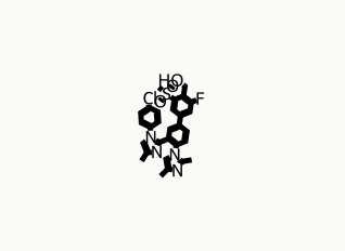 Cc1cn(-c2ccc(-c3cc(F)c(CO)c(S(C)(=O)=O)c3)cc2-c2nc(C)cn2-c2ccc(Cl)cc2)c(C)n1